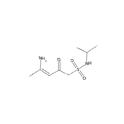 CC(N)=CC(=O)CS(=O)(=O)NC(C)C